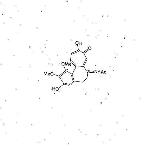 COc1c(O)cc2c(c1OC)-c1ccc(O)c(=O)cc1[C@@H](NC(C)=O)CC2